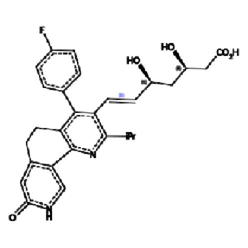 CC(C)c1nc2c(c(-c3ccc(F)cc3)c1/C=C/[C@@H](O)C[C@@H](O)CC(=O)O)CCc1cc(=O)[nH]cc1-2